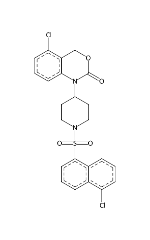 O=C1OCc2c(Cl)cccc2N1C1CCN(S(=O)(=O)c2cccc3c(Cl)cccc23)CC1